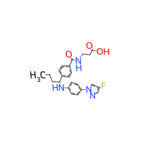 CCCC(Nc1ccc(-n2cc(F)cn2)cc1)c1ccc(C(=O)NCCC(=O)O)cc1